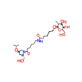 CC(C)O[C@@H]1C[C@@H](CO)N(C(=O)CCCCCNC(=O)CCCCCO[C@@H]2OC(CO)[C@H](O)[C@H](O)C2C)C1